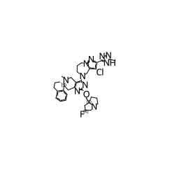 Cc1nnc(-c2nn3c(c2Cl)CN(c2nc(OC[C@@]45CCCN4C[C@H](F)C5)nc4c2CN(C)[C@@]2(CCCc5ccccc52)C4)CCC3)[nH]1